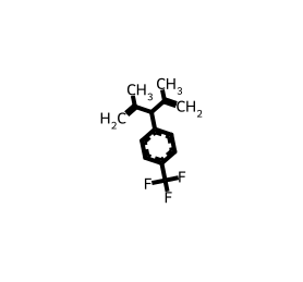 C=C(C)C(C(=C)C)c1ccc(C(F)(F)F)cc1